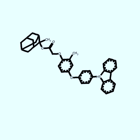 Cc1cc(Oc2ccc([SH]3c4ccccc4-c4ccccc43)cc2)ccc1OCC(=O)OC1(C)C2CC3CC(C2)CC1C3